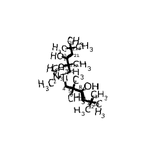 C[N](C)[Ti]([CH2]C(C)(C)C(O)=CC(C)(C)C)[CH2]C(C)(C)C(O)=CC(C)(C)C